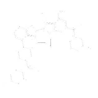 COc1cc(C(=O)N2CCC[C@@H](N)C2)cn2nc(-c3cc4cccc(C5CCN(C(=O)[C@H]6CC[C@@H](O)CC6)CC5)c4n3CC3CC3)c(C)c12